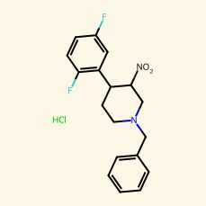 Cl.O=[N+]([O-])C1CN(Cc2ccccc2)CCC1c1cc(F)ccc1F